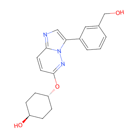 OCc1cccc(-c2cnc3ccc(O[C@H]4CC[C@H](O)CC4)nn23)c1